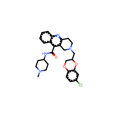 CN1CCC(NC(=O)c2c3c(nc4ccccc24)CCN(CC2COc4ccc(Cl)cc4O2)C3)CC1